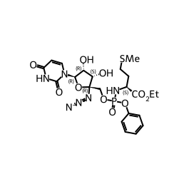 CCOC(=O)[C@H](CCSC)NP(=O)(OC[C@@]1(N=[N+]=[N-])O[C@@H](n2ccc(=O)[nH]c2=O)[C@H](O)[C@@H]1O)Oc1ccccc1